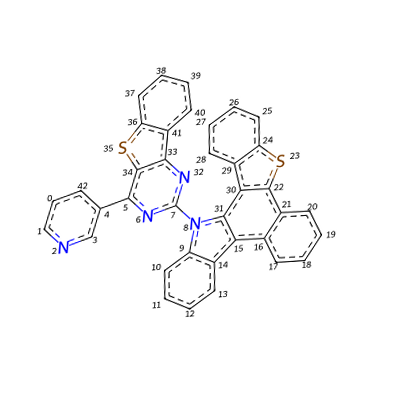 c1cncc(-c2nc(-n3c4ccccc4c4c5ccccc5c5sc6ccccc6c5c43)nc3c2sc2ccccc23)c1